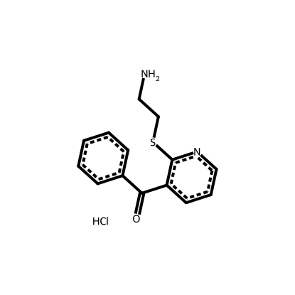 Cl.NCCSc1ncccc1C(=O)c1ccccc1